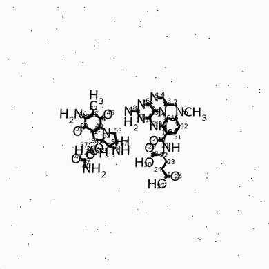 CN(Cc1cnc2nc(N)nc(N)c2n1)c1ccc(C(=O)N[C@@H](CCC(=O)O)C(=O)O)cc1.CO[C@@]12[C@H](COC(N)=O)C3=C(C(=O)C(C)=C(N)C3=O)N1C[C@@H]1N[C@@H]12